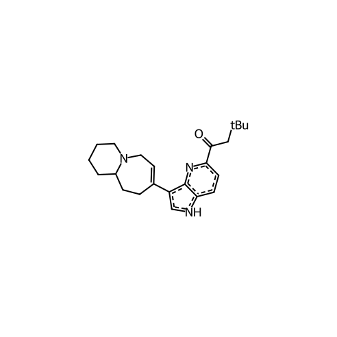 CC(C)(C)CC(=O)c1ccc2[nH]cc(C3=CCN4CCCCC4CC3)c2n1